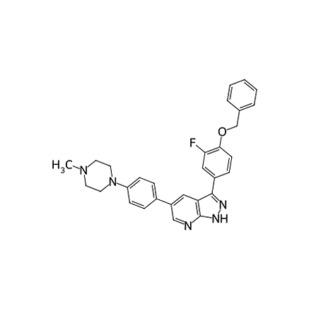 CN1CCN(c2ccc(-c3cnc4[nH]nc(-c5ccc(OCc6ccccc6)c(F)c5)c4c3)cc2)CC1